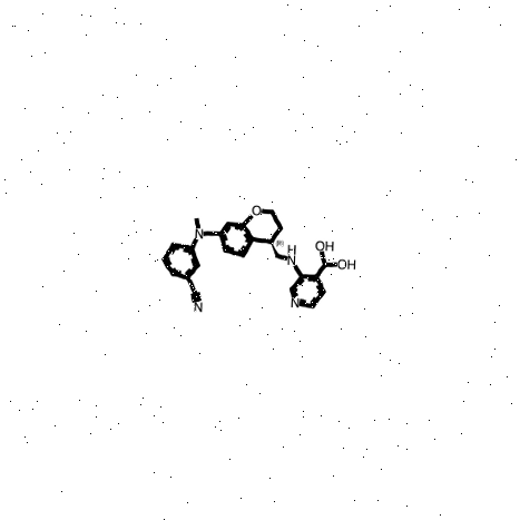 CN(c1cccc(C#N)c1)c1ccc2c(c1)OCC[C@H]2CNc1cnccc1C(O)O